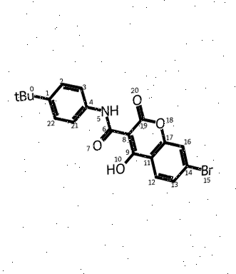 CC(C)(C)c1ccc(NC(=O)c2c(O)c3ccc(Br)cc3oc2=O)cc1